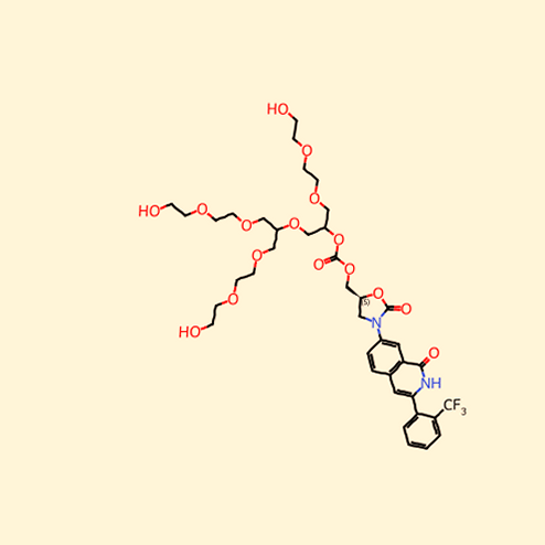 O=C(OC[C@@H]1CN(c2ccc3cc(-c4ccccc4C(F)(F)F)[nH]c(=O)c3c2)C(=O)O1)OC(COCCOCCO)COC(COCCOCCO)COCCOCCO